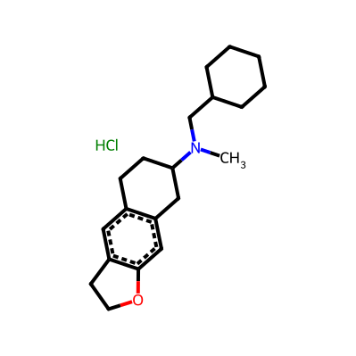 CN(CC1CCCCC1)C1CCc2cc3c(cc2C1)OCC3.Cl